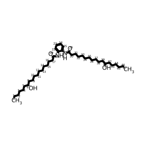 CCCCCCC(O)CCCCCCCCCCC(=O)Nc1ccccc1NC(=O)CCCCCCCCCCC(O)CCCCCC